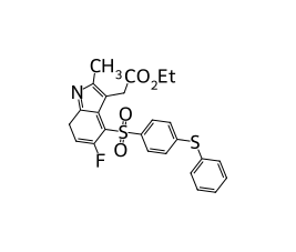 CCOC(=O)CC1=C(C)N=C2CC=C(F)C(S(=O)(=O)c3ccc(Sc4ccccc4)cc3)=C21